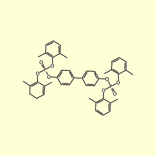 CC1=CCCC(C)=C1OP(=O)(Oc1ccc(-c2ccc(OP(=O)(Oc3c(C)cccc3C)Oc3c(C)cccc3C)cc2)cc1)Oc1c(C)cccc1C